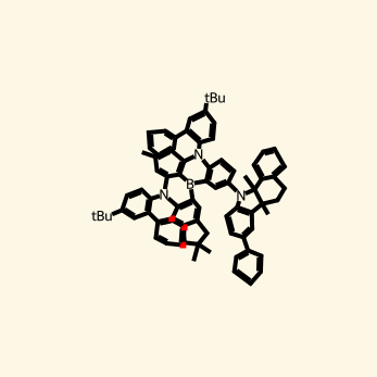 Cc1cc2c3c(c1)N(c1ccc(C(C)(C)C)cc1-c1ccccc1)c1cc4c(cc1B3c1cc(N3c5ccc(-c6ccccc6)cc5C5(C)CCc6ccccc6C35C)ccc1N2c1ccc(C(C)(C)C)cc1-c1ccccc1)CC(C)(C)C4